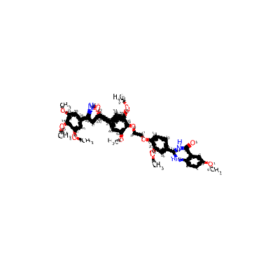 COc1ccc2c(c1)C(=O)NC(c1ccc(OCCOc3c(OC)cc(C4CC(c5cc(OC)c(OC)c(OC)c5)=NO4)cc3OC)c(OC)c1)N2